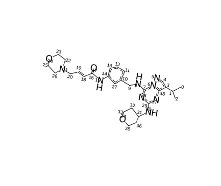 CC(C)c1cnn2c(NCc3cccc(NC(=O)/C=C/CN4CCOCC4)c3)nc(NC3CCOCC3)nc12